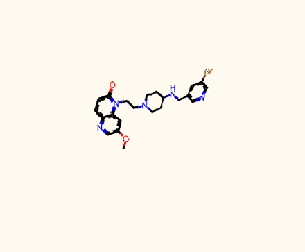 COc1cnc2ccc(=O)n(CCN3CCC(NCc4cncc(Br)c4)CC3)c2c1